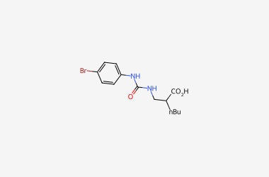 CCCCC(CNC(=O)Nc1ccc(Br)cc1)C(=O)O